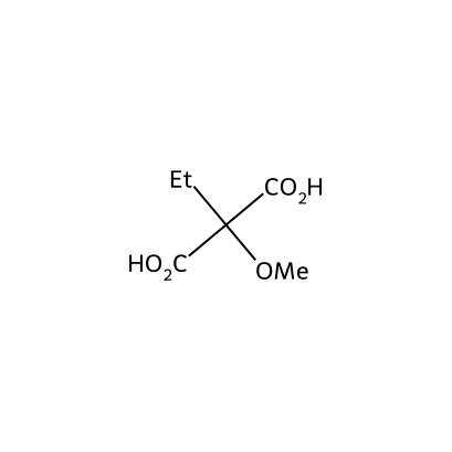 CCC(OC)(C(=O)O)C(=O)O